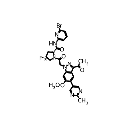 COc1cc2c(cc1-c1cnc(C)nc1)c(C(C)=O)nn2CC(=O)N1C[C@H](F)C[C@H]1C(=O)Nc1cccc(Br)n1